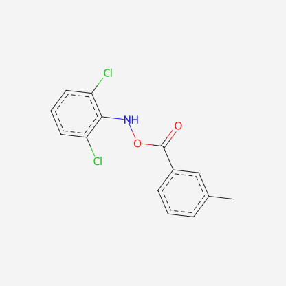 Cc1cccc(C(=O)ONc2c(Cl)cccc2Cl)c1